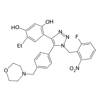 CCc1cc(-c2nnn(Cc3c(F)cccc3[N+](=O)[O-])c2-c2ccc(CN3CCOCC3)cc2)c(O)cc1O